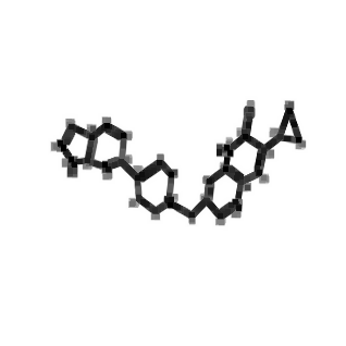 O=c1[nH]c2cc(CN3CC=C(c4ccc5cn[nH]c5n4)CC3)cnc2cc1C1CC1